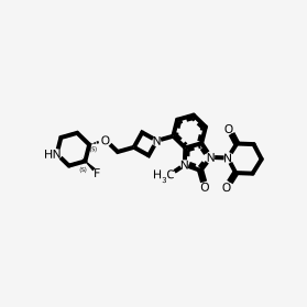 Cn1c(=O)n(N2C(=O)CCCC2=O)c2cccc(N3CC(CO[C@H]4CCNC[C@@H]4F)C3)c21